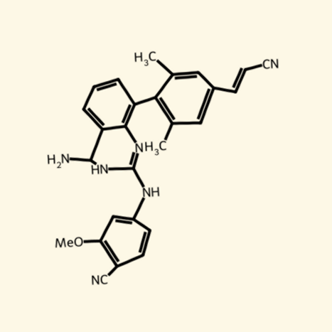 COc1cc(NC2=Nc3c(-c4c(C)cc(/C=C/C#N)cc4C)cccc3C(N)N2)ccc1C#N